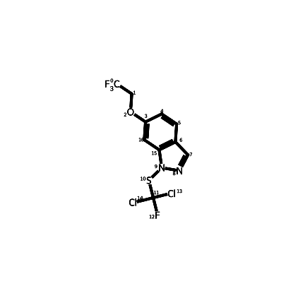 FC(F)(F)COc1ccc2cnn(SC(F)(Cl)Cl)c2c1